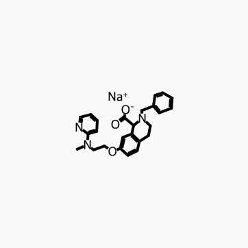 CN(CCOc1ccc2c(c1)C(C(=O)[O-])N(Cc1ccccc1)CC2)c1ccccn1.[Na+]